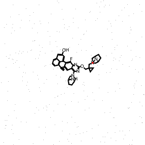 C#Cc1cccc2cc(O)cc(-c3c(F)cc4c(N5CC6CCC(C5)N6)nc(OCC5(CN6CC7CCC(C6)N7C)CC5)nc4c3F)c12